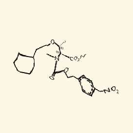 C[C@@H](OCCC1CCCCC1)[C@@H](C(=O)O)N(C)C(=O)OCc1ccc([N+](=O)[O-])cc1